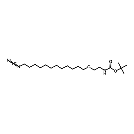 CC(C)(C)OC(=O)NCCOCCCCCCCCCCCCN=[N+]=[N-]